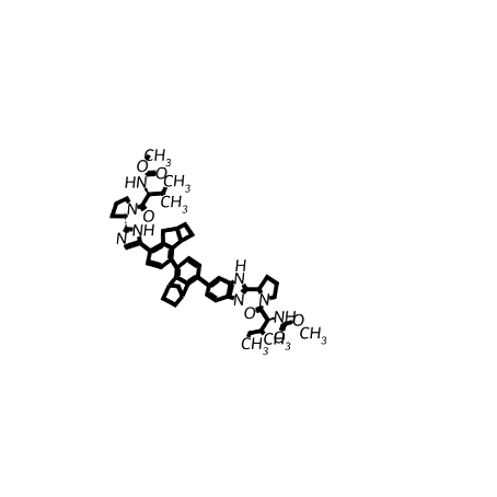 CCC(C)[C@H](NC(=O)OC)C(=O)N1CCCC1c1nc2ccc(-c3ccc(-c4ccc(-c5cnc([C@@H]6CCCN6C(=O)[C@@H](NC(=O)OC)C(C)C)[nH]5)c5c4C4CCC4C5)c4c3C3CCC4C3)cc2[nH]1